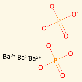 O=P([O-])([O-])[O-].O=P([O-])([O-])[O-].[Ba+2].[Ba+2].[Ba+2]